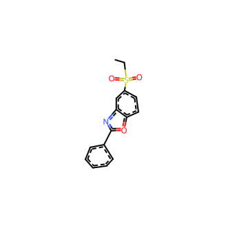 CCS(=O)(=O)c1ccc2oc(-c3ccccc3)nc2c1